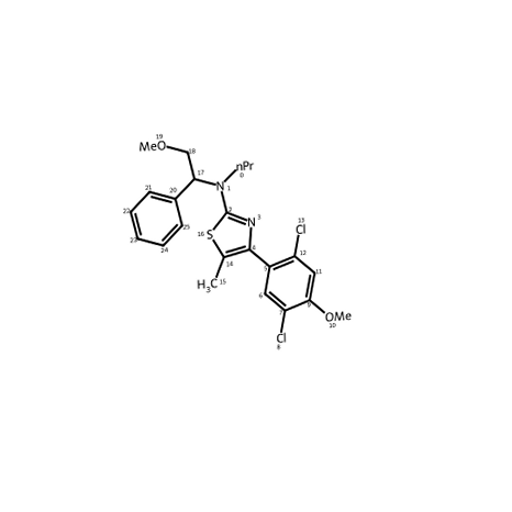 CCCN(c1nc(-c2cc(Cl)c(OC)cc2Cl)c(C)s1)C(COC)c1ccccc1